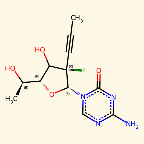 CC#C[C@@]1(F)C(O)[C@@H]([C@@H](C)O)O[C@H]1n1cnc(N)nc1=O